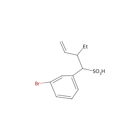 C=CC(CC)C(c1cccc(Br)c1)S(=O)(=O)O